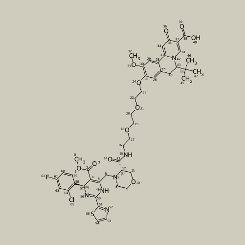 COC(=O)C1=C(CN2CCOC[C@H]2C(=O)NCCOCCOCCOc2cc3c(cc2OC)-c2cc(=O)c(C(=O)O)cn2C(C(C)(C)C)C3)NC(c2nccs2)=N[C@H]1c1ccc(F)cc1Cl